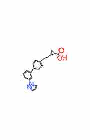 O=C(O)C1CC1CCc1ccc(-c2cccc(-n3cccn3)c2)cc1